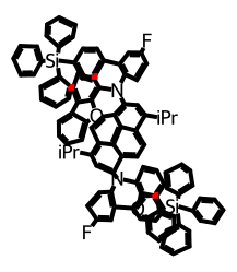 CC(C)c1cc(N(c2ccc(F)cc2-c2ccc([Si](c3ccccc3)(c3ccccc3)c3ccccc3)cc2)c2cccc3c2oc2ccccc23)c2ccc3c(C(C)C)cc(N(c4ccc(F)cc4-c4ccc([Si](c5ccccc5)(c5ccccc5)c5ccccc5)cc4)c4cccc5c4oc4ccccc45)c4ccc1c2c34